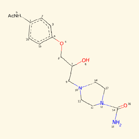 CC(=O)Nc1ccc(OCC(O)CN2CCN(C(N)=O)CC2)cc1